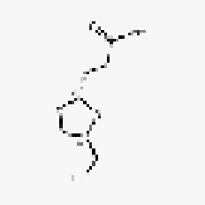 CCCC(=O)OC[C@H]1CC[C@H](CO)O1